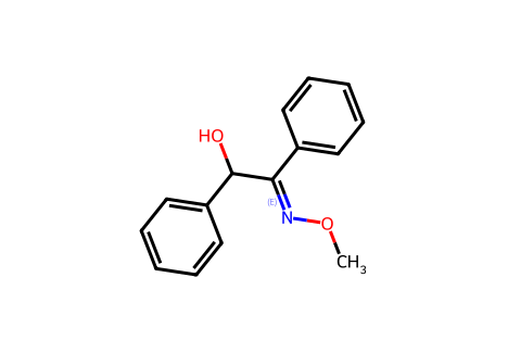 CO/N=C(\c1ccccc1)C(O)c1ccccc1